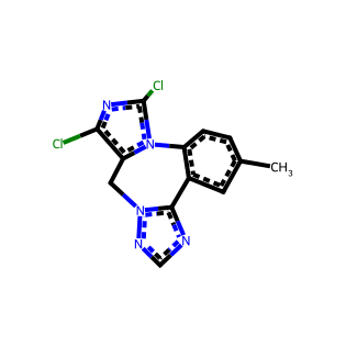 Cc1ccc2c(c1)-c1ncnn1Cc1c(Cl)nc(Cl)n1-2